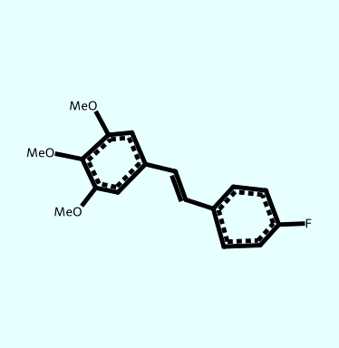 COc1cc(/C=C/c2ccc(F)cc2)cc(OC)c1OC